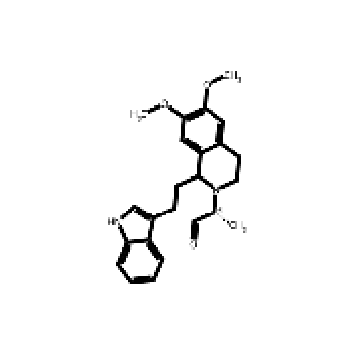 COc1cc2c(cc1OC)C(CCc1c[nH]c3ccccc13)N([C@H](C)C=O)CC2